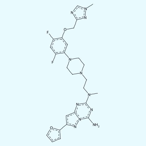 CN(CCN1CCN(c2cc(OCc3ncn(C)n3)c(F)cc2F)CC1)c1nc(N)n2nc(-c3ccco3)cc2n1